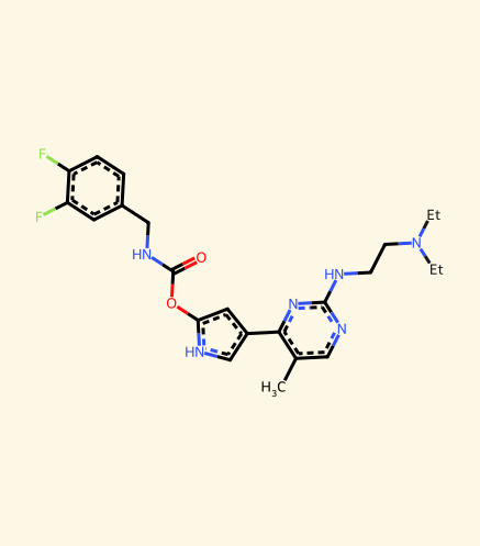 CCN(CC)CCNc1ncc(C)c(-c2c[nH]c(OC(=O)NCc3ccc(F)c(F)c3)c2)n1